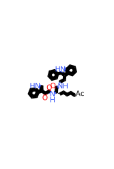 CC(=O)CCCCC[C@H](NC(=O)C(=O)c1c[nH]c2ccccc12)C(=O)NCCc1c(-c2ccccc2)[nH]c2ccccc12